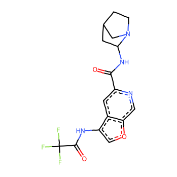 O=C(NC1CC2CCN1C2)c1cc2c(NC(=O)C(F)(F)F)coc2cn1